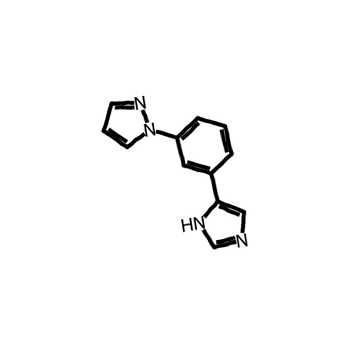 c1cc(-c2cnc[nH]2)cc(-n2cccn2)c1